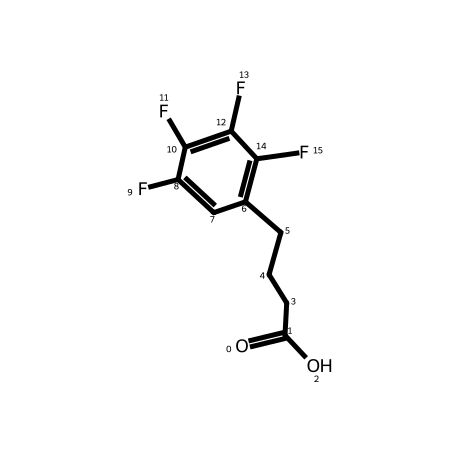 O=C(O)CCCc1cc(F)c(F)c(F)c1F